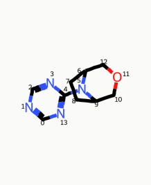 c1ncnc(N2C3CCC2COC3)n1